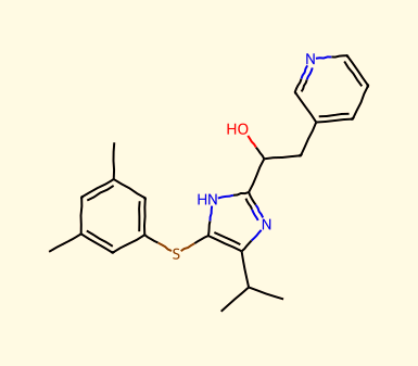 Cc1cc(C)cc(Sc2[nH]c(C(O)Cc3cccnc3)nc2C(C)C)c1